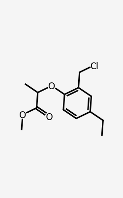 CCc1ccc(OC(C)C(=O)OC)c(CCl)c1